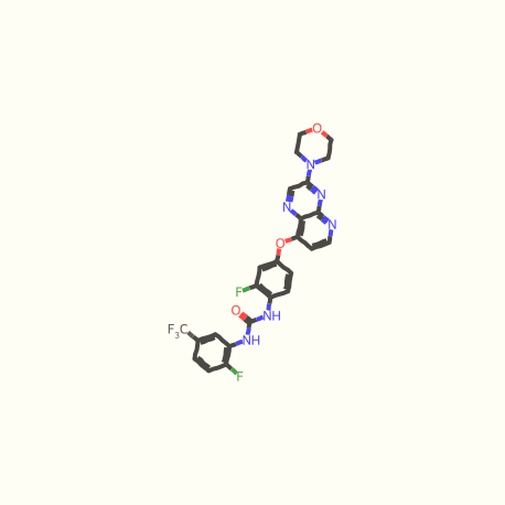 O=C(Nc1ccc(Oc2ccnc3nc(N4CCOCC4)cnc23)cc1F)Nc1cc(C(F)(F)F)ccc1F